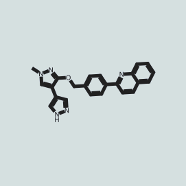 Cn1cc(-c2cn[nH]c2)c(OCc2ccc(-c3ccc4ccccc4n3)cc2)n1